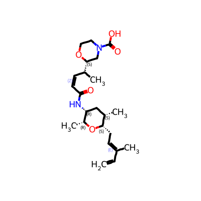 C=C/C(C)=C/C[C@@H]1O[C@H](C)[C@H](NC(=O)/C=C\C(C)[C@H]2CN(C(=O)O)CCO2)C[C@@H]1C